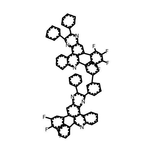 Fc1cc(-c2cc3nc(-c4ccccc4)c(-c4cccc(-c5cccc(-c6nc7ccccc7c7c6c(-c6c(F)c(F)c(F)c(F)c6F)cc6nc(-c8ccccc8)c(-c8ccccc8)nc67)c5)c4)nc3c3c2c(-c2ccccc2)nc2ccccc23)cc(F)c1F